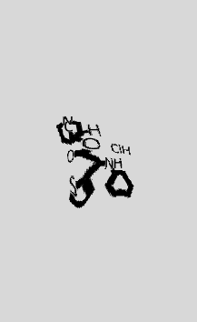 Cl.O=C(O[C@H]1CN2CCC1CC2)C(Nc1ccccc1)c1cccs1